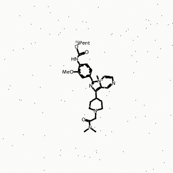 CCC[C@H](C)OC(=O)Nc1ccc(C2=NC(C3CCN(CC(=O)N(C)C)CC3)=C3C=NC=C[N+]23C)cc1OC